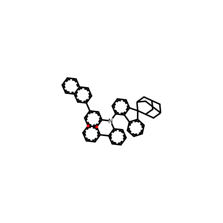 c1ccc(-c2ccccc2N(c2cccc(-c3ccc4ccccc4c3)c2)c2cccc3c2-c2ccccc2C32C3CC4CC(C3)CC2C4)cc1